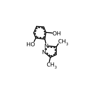 Cc1cc(C)n(-c2c(O)cccc2O)n1